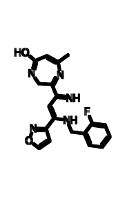 CC1=CC(O)=NCC(C(=N)/C=C(\NCc2ccccc2F)c2ccon2)=N1